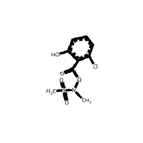 CN(OC(=O)c1c(O)cccc1Cl)S(C)(=O)=O